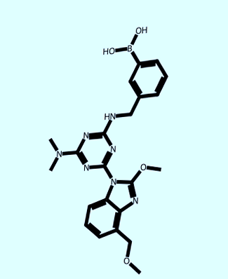 COCc1cccc2c1nc(OC)n2-c1nc(NCc2cccc(B(O)O)c2)nc(N(C)C)n1